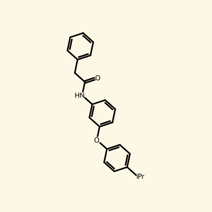 CC(C)c1ccc(Oc2cccc(NC(=O)Cc3ccccc3)c2)cc1